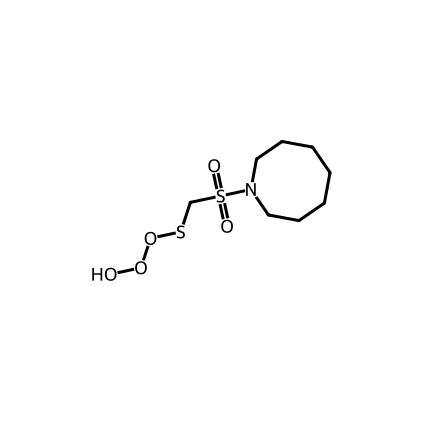 O=S(=O)(CSOOO)N1CCCCCCC1